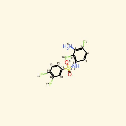 Nc1c(F)ccc(NS(=O)(=O)c2ccc(F)c(F)c2)c1F